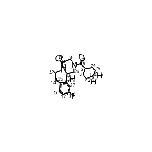 [2H]C1([2H])CCC(C(=O)N2CC(=O)N3CCc4ccc(F)cc4[C@@H]3C2)CC1